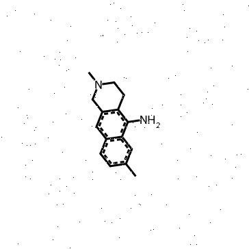 Cc1ccc2cc3c(c(N)c2c1)CCN(C)C3